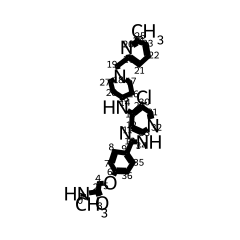 CNC(=O)COc1ccc(-c2nc3c(NC4CCN(Cc5cccc(C)n5)CC4)c(Cl)cnc3[nH]2)cc1